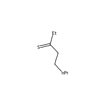 CCCCCC(=S)CC